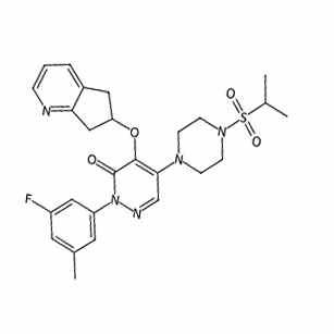 Cc1cc(F)cc(-n2ncc(N3CCN(S(=O)(=O)C(C)C)CC3)c(OC3Cc4cccnc4C3)c2=O)c1